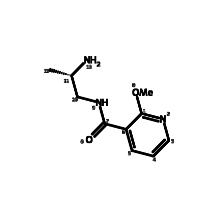 COc1ncccc1C(=O)NC[C@H](C)N